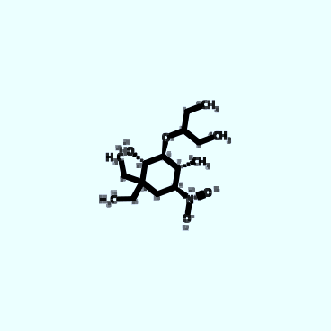 CCC(CC)O[C@H]1[C@H](C)[C@@H]([N+](=O)[O-])CC(CC)(CC)[C@@H]1O